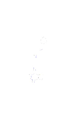 Cc1csc2c(N3CCC(NC/C=C/c4ccccc4)CC3)ncnc12